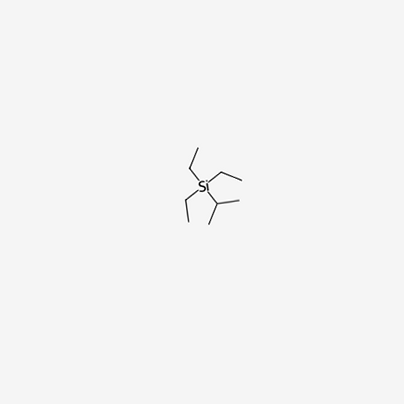 CC[Si](CC)(CC)C(C)C